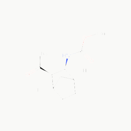 CC(C)(C)OC(=O)N[C@H]1[C@H]2CC[C@H](C2)[C@H]1C(=O)C(C)(C)C